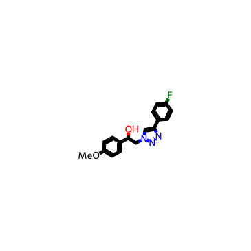 COc1ccc(C(O)Cn2cc(-c3ccc(F)cc3)nn2)cc1